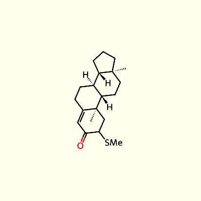 CSC1C[C@@]2(C)C(=CC1=O)CC[C@H]1[C@@H]3CCC[C@@]3(C)CC[C@@H]12